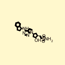 NS(=O)(=O)C=C[C@@H]1C[C@@H](n2ccc3c(N[C@H]4CCc5ccccc54)ncnc32)C[C@@H]1O